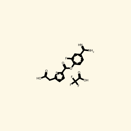 N=C(N)c1ccc(OC(=O)c2ccc(CC(=O)O)s2)c(F)c1.O=C(O)C(F)(F)F